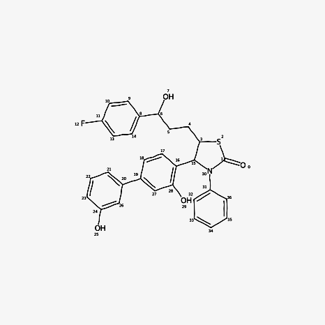 O=C1SC(CCC(O)c2ccc(F)cc2)C(c2ccc(-c3cccc(O)c3)cc2O)N1c1ccccc1